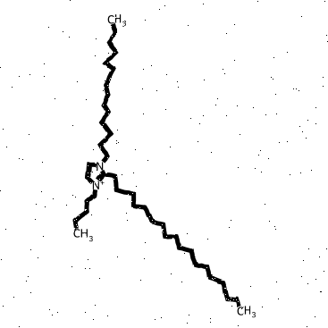 CCCCCCCCCCCCCCCCCCc1n(CCCCCCCCCCCCCC)cc[n+]1CCCCC